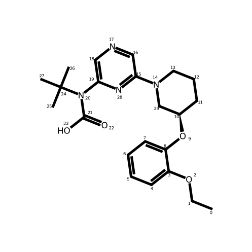 CCOc1ccccc1O[C@@H]1CCCN(c2cncc(N(C(=O)O)C(C)(C)C)n2)C1